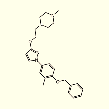 Cc1cc(-n2ccc(OCCN3CCN(C)CC3)n2)ccc1OCc1ccccc1